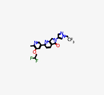 Cc1ncc(-c2ccc3c(n2)CN(c2cnn(CC(F)(F)F)c2)C3=O)cc1OCC(F)F